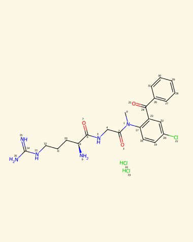 CN(C(=O)CNC(=O)[C@@H](N)CCCNC(=N)N)c1ccc(Cl)cc1C(=O)c1ccccc1.Cl.Cl